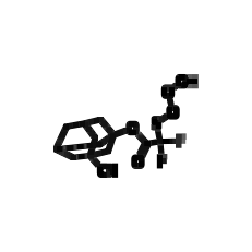 N#CC12CC3CC(C1)CC(OC(=O)C(F)(F)SOOO)(C3)C2